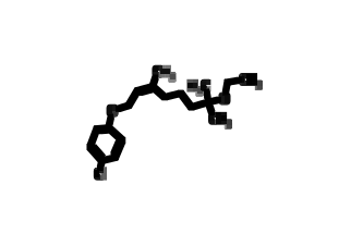 CCOC(C)(C)CCCC(C)=CCOc1ccc(Cl)cc1